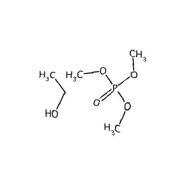 CCO.COP(=O)(OC)OC